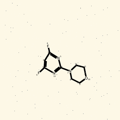 Fc1cc(F)nc(N2CCOCC2)n1